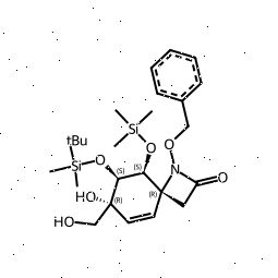 CC(C)(C)[Si](C)(C)O[C@H]1[C@@H](O[Si](C)(C)C)[C@]2(C=C[C@@]1(O)CO)CC(=O)N2OCc1ccccc1